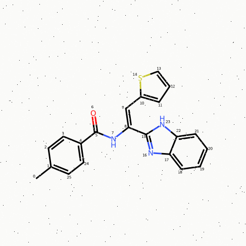 Cc1ccc(C(=O)NC(=Cc2cccs2)c2nc3ccccc3[nH]2)cc1